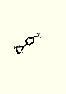 FC(F)(F)c1ccc(-c2n[c]c[nH]2)cc1